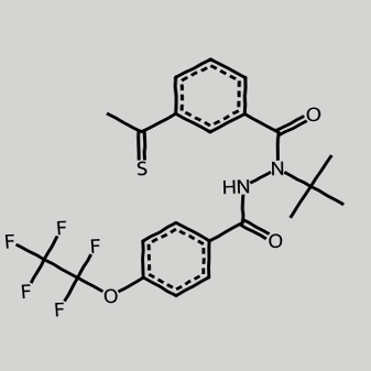 CC(=S)c1cccc(C(=O)N(NC(=O)c2ccc(OC(F)(F)C(F)(F)F)cc2)C(C)(C)C)c1